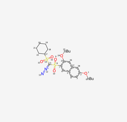 CCCCOc1ccc2cc(S(=O)(=O)C(=[N+]=[N-])S(=O)(=O)C3CCCCC3)c(OCCCC)cc2c1